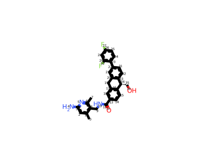 Cc1cc(N)nc(C)c1CNC(=O)c1ccc2c(c1)Cc1cc(-c3ccc(F)cc3F)ccc1[C@@H]2CO